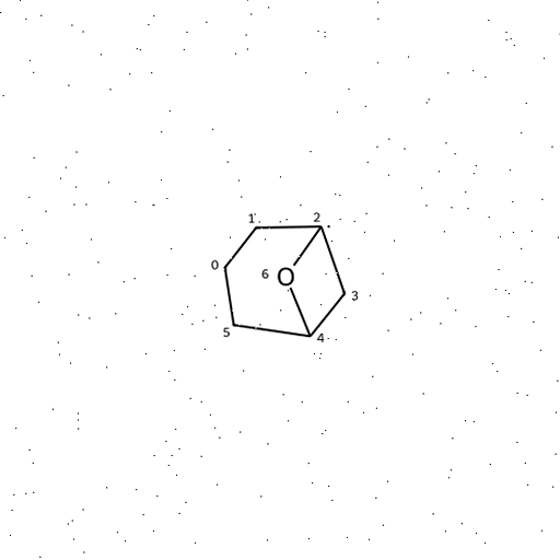 C1C[C]2CC(C1)O2